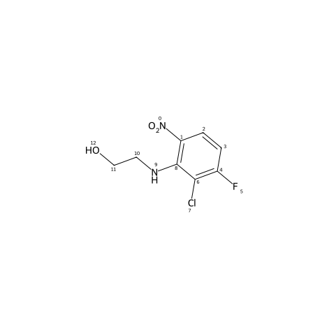 O=[N+]([O-])c1ccc(F)c(Cl)c1NCCO